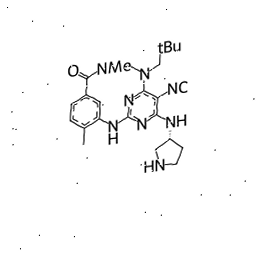 [C-]#[N+]c1c(N[C@@H]2CCNC2)nc(Nc2cc(C(=O)NC)ccc2C)nc1N(C)CC(C)(C)C